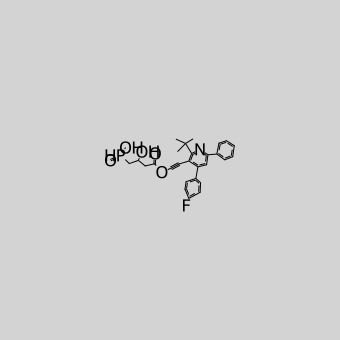 CC(C)(C)c1nc(-c2ccccc2)cc(-c2ccc(F)cc2)c1C#COC(=O)CC(O)C[PH](=O)O